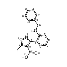 Cc1onc(-c2ccccc2OCc2ccccc2)c1C(=O)O